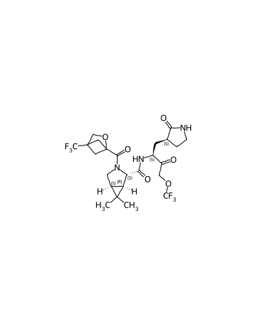 CC1(C)[C@@H]2[C@@H](C(=O)N[C@@H](C[C@@H]3CCNC3=O)C(=O)COC(F)(F)F)N(C(=O)C34CC(C(F)(F)F)(CO3)C4)C[C@@H]21